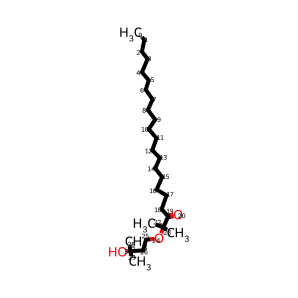 CCCCCCCCCCCCCCCCCCCC(=O)C(C)(C)OCCC(C)(C)O